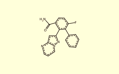 NC(=O)c1ccc(F)c(-c2ccccc2)c1-c1cc2ncccn2n1